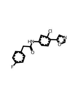 O=C(Cc1ccc(F)cc1)Nc1ccc(-c2cnco2)c(Cl)c1